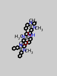 CN1c2cc3ccccc3cc2B2c3cc4ccccc4cc3N(C)c3cc(-c4ccc5ccc6c(c5c4)B4c5c(cc(-c7ccc8ccc9c(c8c7)B7c8cc%10ccccc%10cc8N(C)c8cccc(c87)N9C)cc5N(C)c5ccc7ccccc7c54)N6)cc1c32